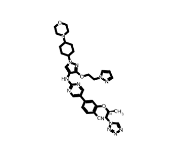 C[C@@H](Cn1cnnn1)Oc1cc(-c2cnc(Nc3cn(C4CCC(N5CCOCC5)CC4)nc3OCCn3cccn3)nc2)ccc1C#N